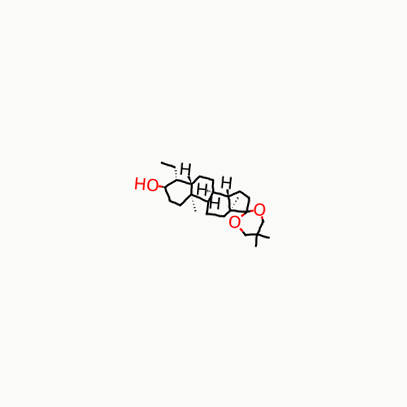 CC[C@H]1[C@H](O)CC[C@]2(C)[C@H]3CC[C@@]4(C)[C@@H](CCC45OCC(C)(C)CO5)[C@@H]3CC[C@@H]12